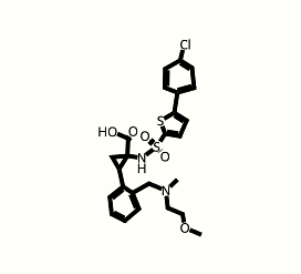 COCCN(C)Cc1ccccc1C1CC1(NS(=O)(=O)c1ccc(-c2ccc(Cl)cc2)s1)C(=O)O